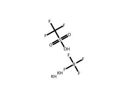 F[B-](F)(F)F.O=S(=O)(O)C(F)(F)F.[KH].[KH]